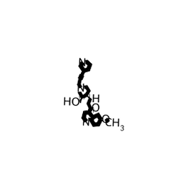 COc1ccc2nccc([C@@H](O)CC[C@@H]3CCN(CC#Cc4cccnc4)C[C@@H]3CO)c2c1